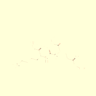 CCCCOC(=O)CC[C@H](NC(=O)N[C@@H](CCCCN)C(=O)OCCCC)C(=O)OCCCC